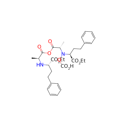 CCOC(=O)[C@H](CCc1ccccc1)N[C@@H](C)C(=O)OC(=O)[C@H](C)N(OC(=O)O)[C@@H](CCc1ccccc1)C(=O)OCC